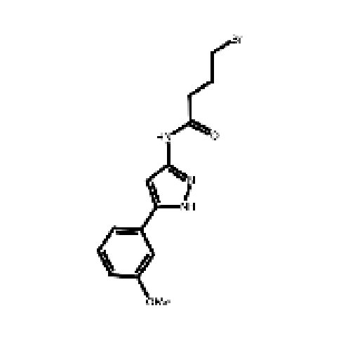 COc1cccc(-c2cc(NC(=O)CCCBr)n[nH]2)c1